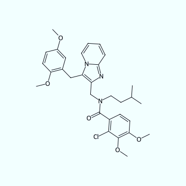 COc1ccc(OC)c(Cc2c(CN(CCC(C)C)C(=O)c3ccc(OC)c(OC)c3Cl)nc3ccccn23)c1